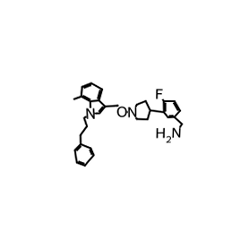 Cc1cccc2c(CON3CCC(c4cc(CN)ccc4F)CC3)cn(CCCc3ccccc3)c12